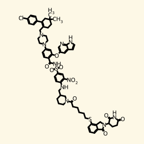 CC1(C)CCC(CN2CCN(c3ccc(C(=O)NS(=O)(=O)c4ccc(NCC5CCCN(C(=O)CCCCCSc6cccc7c6CN(C6CCC(=O)NC6=O)C7=O)C5)c([N+](=O)[O-])c4)c(Oc4cnc5[nH]ccc5c4)c3)CC2)=C(c2ccc(Cl)cc2)C1